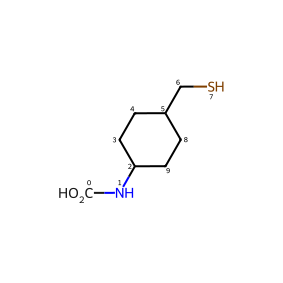 O=C(O)NC1CCC(CS)CC1